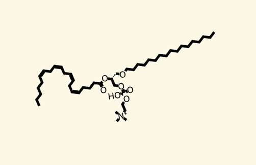 CCCCC/C=C\C/C=C\C/C=C\C/C=C\CCCC(=O)O[C@H](COCCCCCCCCCCCCCCCCC)COP(=O)(O)OCC[N+](C)(C)C